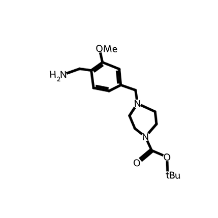 COc1cc(CN2CCN(C(=O)OC(C)(C)C)CC2)ccc1CN